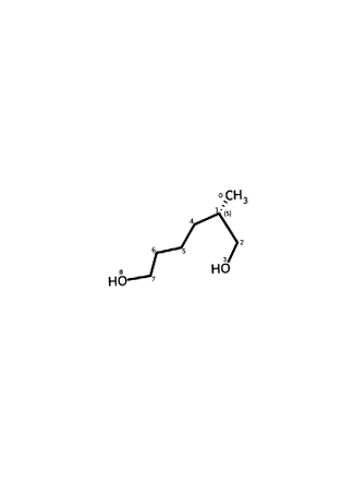 C[C@H](CO)CCCCO